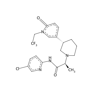 C[C@@H](C(=O)Nc1ccc(Cl)cn1)N1CCC[C@@H](c2ccc(=O)n(CC(F)(F)F)c2)C1